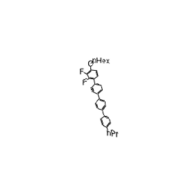 CCCCCCOc1ccc(-c2ccc(-c3ccc(-c4ccc(CCC)cc4)cc3)cc2)c(F)c1F